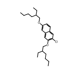 CCCCC(CC)COc1ccc2cc(Cl)c(OCC(CC)CCCC)cc2c1